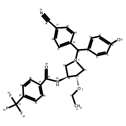 CCO[C@H]1CN(C(c2ccc(Cl)cc2)c2ccc(C#N)cc2)C[C@@H]1NC(=O)c1ccc(C(F)(F)F)cc1